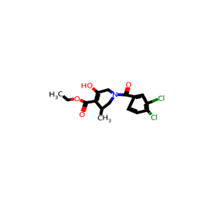 CCOC(=O)C1=C(O)CN(C(=O)c2ccc(Cl)c(Cl)c2)CC1C